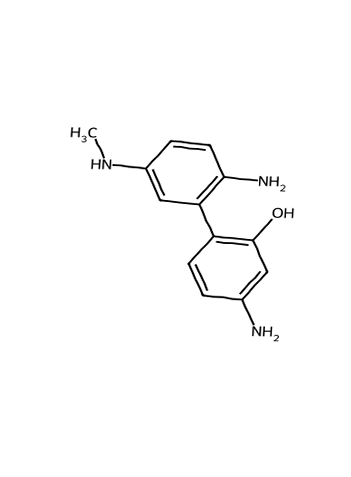 CNc1ccc(N)c(-c2ccc(N)cc2O)c1